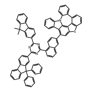 CC1(C)c2ccccc2-c2ccc(-c3nc(-c4ccc5c(c4)C(c4ccccc4)(c4ccccc4)c4ccccc4-5)nc(-c4cccc5cc(-c6cc7sc8cccc9c%10ccccc%10n%10c%11ccccc%11c6c%10c7c89)ccc45)n3)cc21